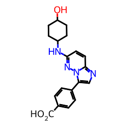 O=C(O)c1ccc(-c2cnc3ccc(NC4CCC(O)CC4)nn23)cc1